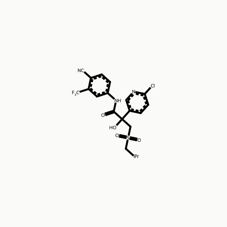 CC(C)CS(=O)(=O)CC(O)(C(=O)Nc1ccc(C#N)c(C(F)(F)F)c1)c1ccc(Cl)nc1